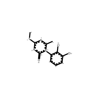 CSc1nc(C)n(-c2cccc(Cl)c2Cl)c(=O)n1